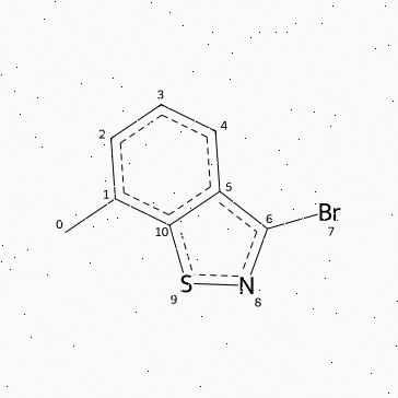 Cc1cccc2c(Br)nsc12